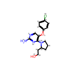 Nc1ncc(Oc2ccc(Cl)cc2)c(N2CCCC2CCO)n1